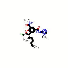 C=C(/C=C\C=C/C)[C@@H]1c2cc(C(=O)Nc3nncn3C)cc(C(=O)NC)c2O[C@H]1CF